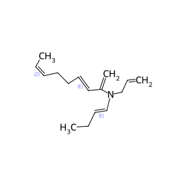 C=CCN(/C=C/CC)C(=C)/C=C/CC/C=C\C